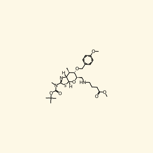 COC(=O)CCCNC[C@H]1O[C@@H]2SC(N(C)C(=O)OC(C)(C)C)=N[C@@H]2[C@@H](C)[C@@H]1OCc1ccc(OC)cc1